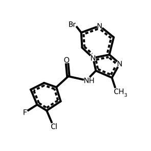 Cc1nc2cnc(Br)cn2c1NC(=O)c1ccc(F)c(Cl)c1